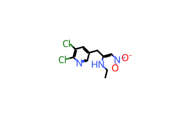 CCN/C(=C\[N+](=O)[O-])Cc1cnc(Cl)c(Cl)c1